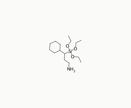 CCO[Si](OCC)(OCC)C(CCN)C1CCCCC1